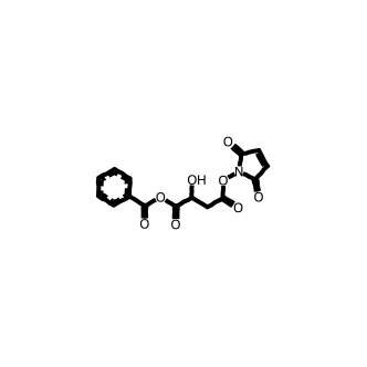 O=C(CC(O)C(=O)OC(=O)c1ccccc1)ON1C(=O)C=CC1=O